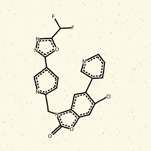 O=c1oc2cc(Cl)c(-c3cccnc3)cc2n1Cc1ccc(-c2nnc(C(F)F)o2)cn1